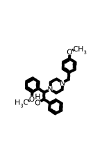 COc1ccc(CN2CCN(C(c3ccccc3OC)C(O)c3ccccc3)CC2)cc1